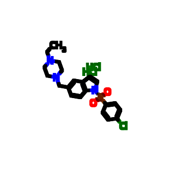 CCN1CCN(Cc2ccc3c(ccn3S(=O)(=O)c3ccc(Cl)cc3)c2)CC1.Cl.Cl